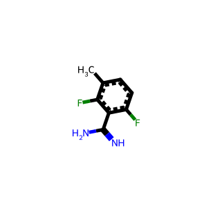 Cc1ccc(F)c(C(=N)N)c1F